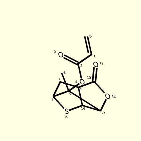 C=CC(=O)OC1(C)C2CC3C(=O)OC1C3S2